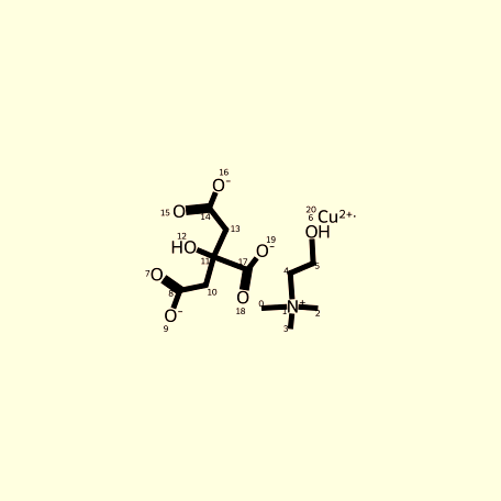 C[N+](C)(C)CCO.O=C([O-])CC(O)(CC(=O)[O-])C(=O)[O-].[Cu+2]